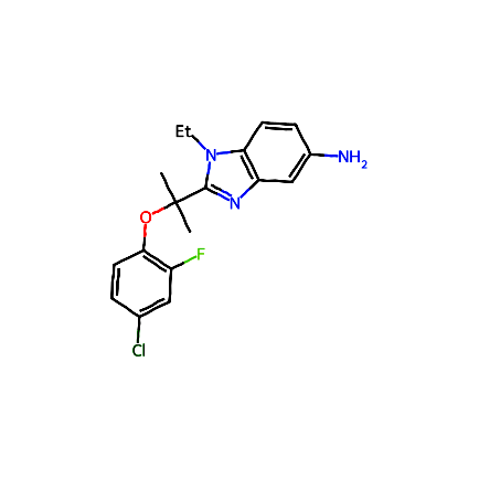 CCn1c(C(C)(C)Oc2ccc(Cl)cc2F)nc2cc(N)ccc21